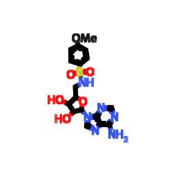 COc1ccc(S(=O)(=O)NCC2OC(n3cnc4c(N)ncnc43)C(O)C2O)cc1